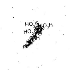 O=C(O)CCC(C(=O)O)N1C(=O)CC(=O)N([C@@H](CCCCNC(=O)Cn2cc(CCCF)nn2)C(=O)O)C1=O